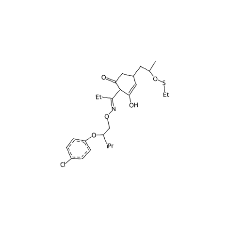 CCSOC(C)CC1C=C(O)C(C(CC)=NOCC(Oc2ccc(Cl)cc2)C(C)C)C(=O)C1